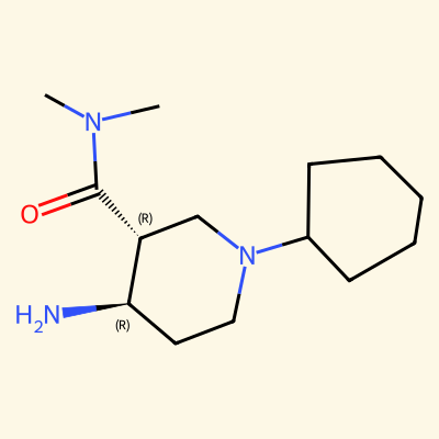 CN(C)C(=O)[C@@H]1CN(C2CCCCC2)CC[C@H]1N